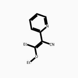 CCO/C(CC)=C(\C#N)c1ccccn1